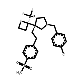 CS(=O)(=O)c1ccc(CC[C@@]2([C@@]3(C(F)(F)F)CCO3)CCN(Cc3ccc(Cl)cc3)C2)cc1